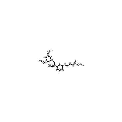 CCOc1cc(C=Cc2cccc(C=CCCC(=O)OC)c2)c(OC)c(OCC)c1